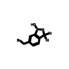 CCC1(CC)OB(O)c2cc(CBr)ccc21